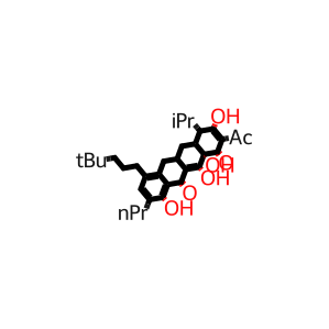 CCCc1cc(CCCC(C)(C)C)c2c(c1O)C(=O)C1=C(O)[C@@]3(O)C(=O)C(C(C)=O)=C(O)C(C(C)C)C3CC1C2